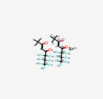 CC(C)(C)C([O-])=CC(=O)C(F)(F)C(F)(F)C(F)(F)F.CC(C)(C)C([O-])=CC(=O)C(F)(F)C(F)(F)C(F)(F)F.[Ba+2]